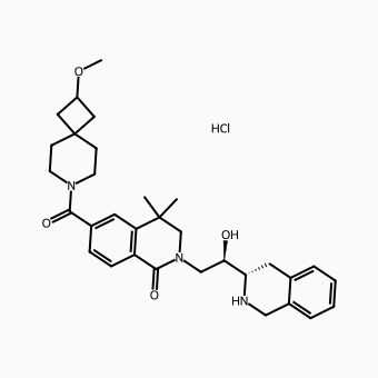 COC1CC2(CCN(C(=O)c3ccc4c(c3)C(C)(C)CN(C[C@@H](O)[C@@H]3Cc5ccccc5CN3)C4=O)CC2)C1.Cl